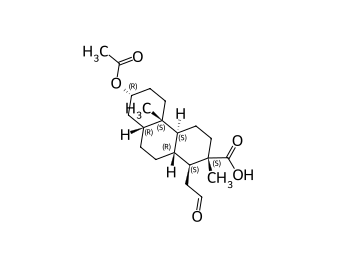 CC(=O)O[C@@H]1CC[C@@]2(C)[C@H](CC[C@@H]3[C@@H]2CC[C@](C)(C(=O)O)[C@H]3CC=O)C1